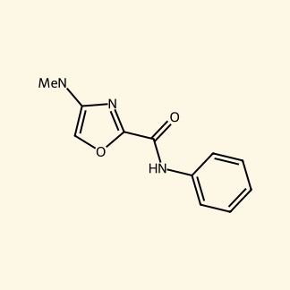 CNc1coc(C(=O)Nc2ccccc2)n1